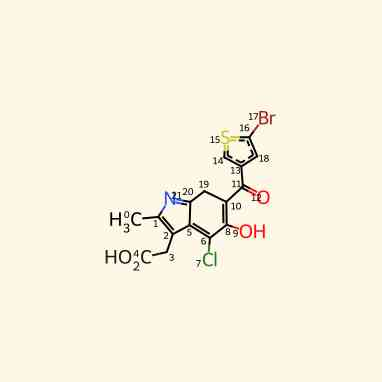 CC1=C(CC(=O)O)C2=C(Cl)C(O)=C(C(=O)c3csc(Br)c3)CC2=N1